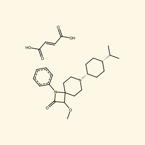 COC1C(=O)N(c2ccccc2)C12CCN([C@H]1CC[C@@H](C(C)C)CC1)CC2.O=C(O)/C=C/C(=O)O